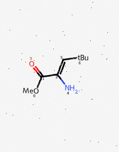 COC(=O)C(N)=CC(C)(C)C